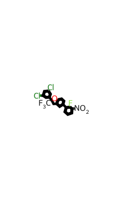 O=[N+]([O-])c1cccc(-c2ccc3c(c2)CC(c2cc(Cl)cc(Cl)c2)(C(F)(F)F)O3)c1F